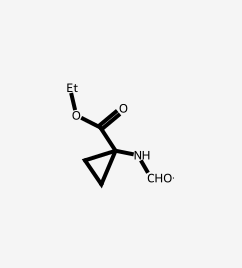 CCOC(=O)C1(N[C]=O)CC1